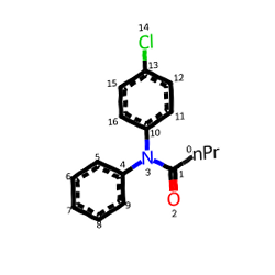 CCCC(=O)N(c1ccccc1)c1ccc(Cl)cc1